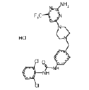 Cl.Nc1nc(N2CCN(Cc3ccc(NC(=O)Nc4c(Cl)cccc4Cl)cc3)CC2)cc(C(F)(F)F)n1